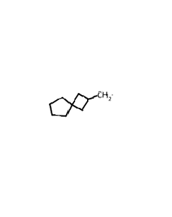 [CH2]C1CC2(CCCC2)C1